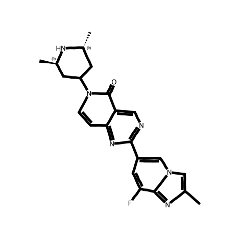 Cc1cn2cc(-c3ncc4c(=O)n(C5C[C@@H](C)N[C@H](C)C5)ccc4n3)cc(F)c2n1